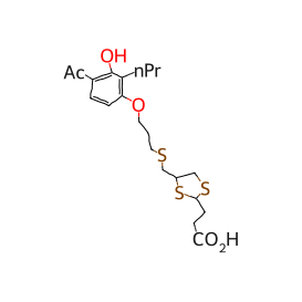 CCCc1c(OCCCSCC2CSC(CCC(=O)O)S2)ccc(C(C)=O)c1O